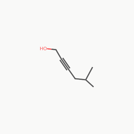 CC(C)CC#CCO